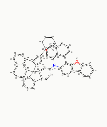 c1ccc2c(c1)-c1ccc(N(c3ccc4c(c3)oc3ccccc34)c3cccc4ccccc34)cc1C21c2ccc(C3CCCCC3)cc2-c2cccc3cccc1c23